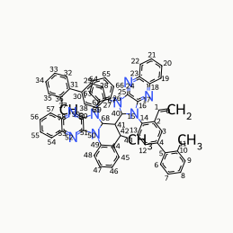 C=Cc1cc(-c2ccccc2C)ccc1N1c2nc3ccccc3nc2N(c2ccc(-c3ccccc3C)cc2)C1C1C(C)c2ccccc2N2c3nc4ccccc4nc3N(c3ccccc3)C12